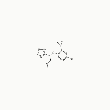 COCC(Oc1ccc(Br)cc1C1CC1)c1nnn[nH]1